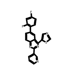 Fc1ccc(-c2ccc3nc(-c4cccnc4)nc(-c4cncs4)c3c2)c(F)c1